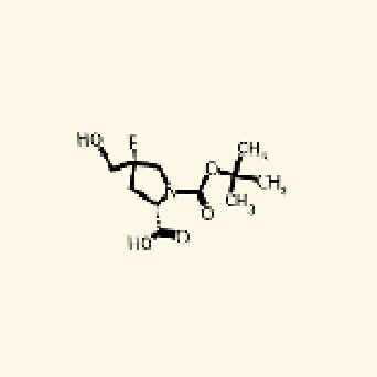 CC(C)(C)OC(=O)N1C[C@@](F)(CO)C[C@H]1C(=O)O